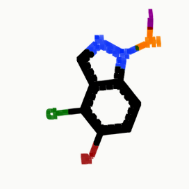 Clc1c(Br)ccc2c1cnn2PI